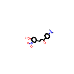 CN(C)c1ccc(C(=O)/C=C/c2ccc(O)c([N+](=O)[O-])c2)cc1